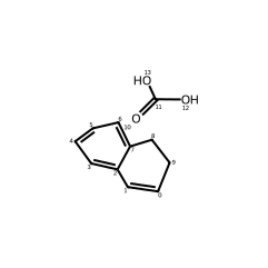 C1=Cc2ccccc2CC1.O=C(O)O